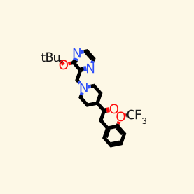 CC(C)(C)Oc1nccnc1CN1CCC(C(=O)Cc2ccccc2OC(F)(F)F)CC1